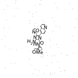 COC[C@@H]1CCC[C@@H]1NC(=O)c1nc(-c2ccc3ncccc3c2)c(-c2ncco2)nc1N